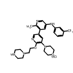 Cc1ncc(Nc2cccc(C(F)(F)F)c2)cc1-c1cnc(OCCN2CCNCC2)c(N2CCOCC2)c1.Cl